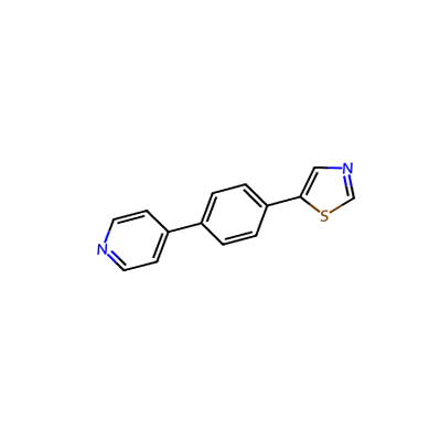 c1cc(-c2ccc(-c3cncs3)cc2)ccn1